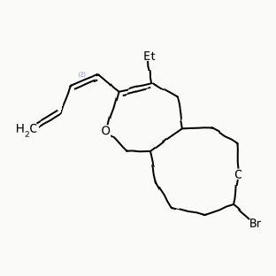 C=C/C=C\C1=C(CC)CC2CCCC(Br)CCCC2CO1